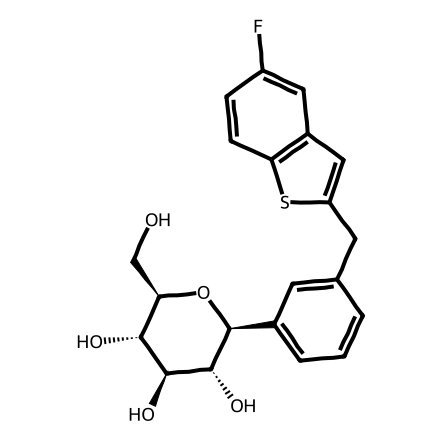 OC[C@H]1O[C@@H](c2cccc(Cc3cc4cc(F)ccc4s3)c2)[C@H](O)[C@@H](O)[C@@H]1O